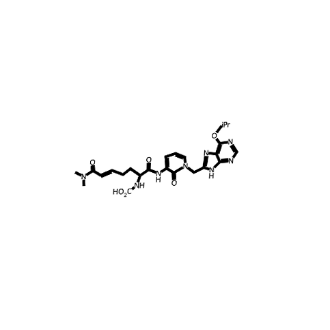 CC(C)Oc1ncnc2[nH]c(Cn3cccc(NC(=O)C(CC/C=C/C(=O)N(C)C)NC(=O)O)c3=O)nc12